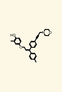 Cc1ccc(/C(=C/COc2ccc(O)c(C)c2)c2ccc(C#CCN3CCOCC3)cc2)cc1